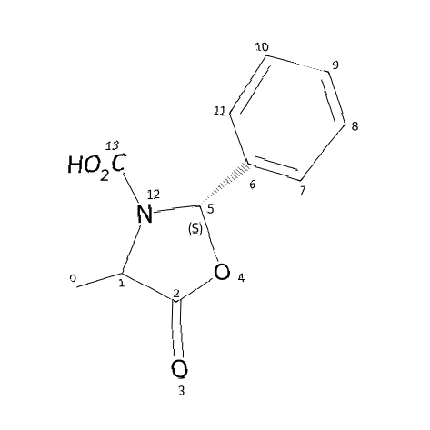 CC1C(=O)O[C@@H](c2ccccc2)N1C(=O)O